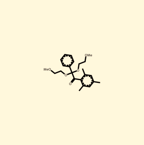 COCCOC(OCCOC)(C(=O)c1c(C)cc(C)cc1C)c1ccccc1